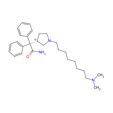 CN(C)CCCCCCCCN1CC[C@@H](C(C(N)=O)(c2ccccc2)c2ccccc2)C1